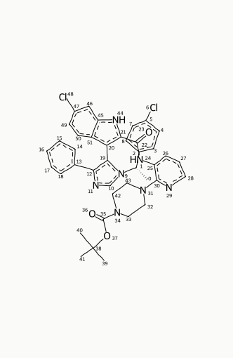 C[C@@H](c1ccc(Cl)cc1)n1cnc(-c2ccccc2)c1-c1c(C(=O)Nc2cccnc2N2CCN(C(=O)OC(C)(C)C)CC2)[nH]c2cc(Cl)ccc12